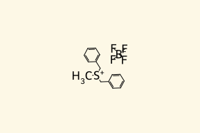 C[S+](Cc1ccccc1)Cc1ccccc1.F[B-](F)(F)F